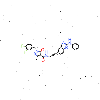 Cc1c(C(=O)NCC#Cc2ccc3nc(Nc4ccccc4)ncc3c2)c(=O)n(Cc2ccc(F)c(F)c2)n1C